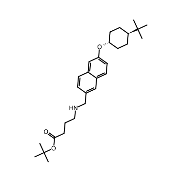 CC(C)(C)OC(=O)CCCNCc1ccc2cc(O[C@H]3CC[C@H](C(C)(C)C)CC3)ccc2c1